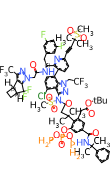 CC(C)(C)OC(=O)Cc1cc(C(=O)NC(C)(C)c2ccccc2)cc(OP(=O)(OP)OP)c1C(C)(C)CC(=O)N(c1nn(CC(F)(F)F)c2c(-c3ccc(C#CC(C)(C)S(C)(=O)=O)nc3[C@H](Cc3cc(F)cc(F)c3)NC(=O)Cn3nc(C(F)(F)F)c4c3C(F)(F)[C@@H]3CC[C@H]43)ccc(Cl)c12)S(C)(=O)=O